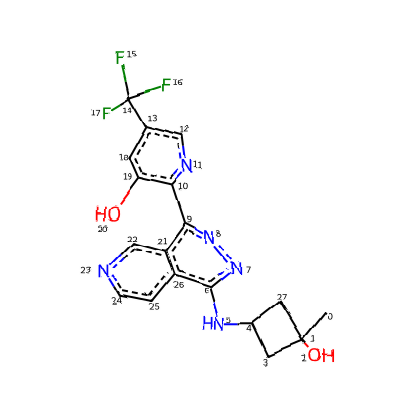 CC1(O)CC(Nc2nnc(-c3ncc(C(F)(F)F)cc3O)c3cnccc23)C1